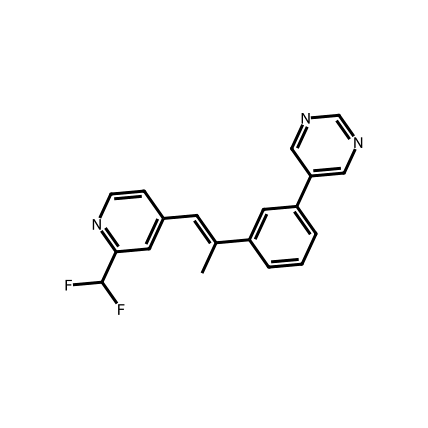 C/C(=C\c1ccnc(C(F)F)c1)c1cccc(-c2cncnc2)c1